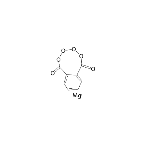 O=c1ooooc(=O)c2ccccc12.[Mg]